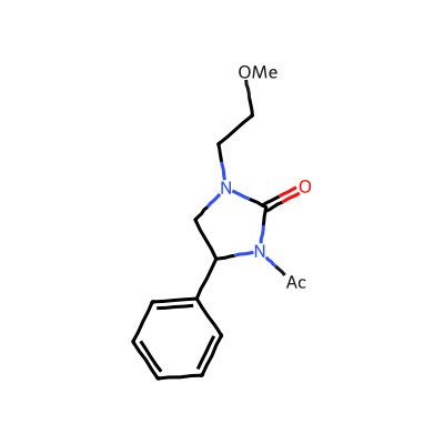 COCCN1CC(c2ccccc2)N(C(C)=O)C1=O